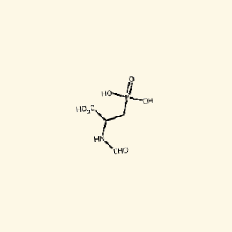 O=CNC(CP(=O)(O)O)C(=O)O